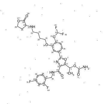 CC(OC(N)=O)c1oc(-c2ccc(OC(F)F)c(OCCCCNC3CCOC3=O)c2)nc1C(=O)NCc1ccc(F)cc1F